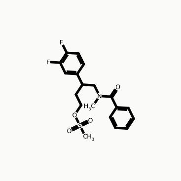 CN(CC(CCOS(C)(=O)=O)c1ccc(F)c(F)c1)C(=O)c1ccccc1